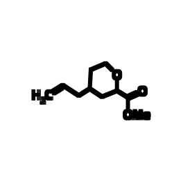 C=CCC1CCOC(C(=O)OC)C1